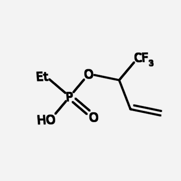 C=CC(OP(=O)(O)CC)C(F)(F)F